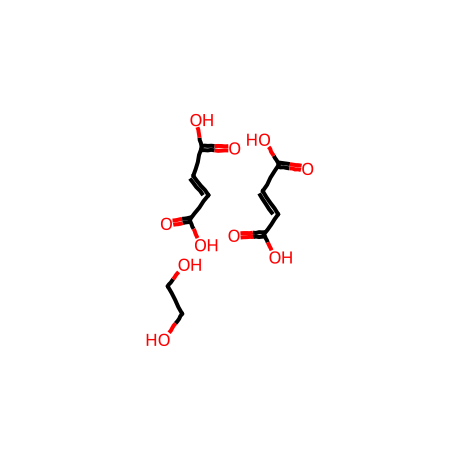 O=C(O)C=CC(=O)O.O=C(O)C=CC(=O)O.OCCO